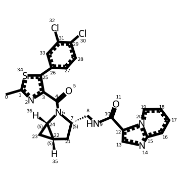 Cc1nc(C(=O)N2[C@H](CNC(=O)c3cnc4ccccn34)C[C@@H]3C[C@@H]32)c(-c2ccc(Cl)c(Cl)c2)s1